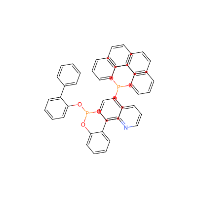 c1ccc(-c2ccccc2OP(OCc2ncccc2OP(Oc2ccccc2-c2ccccc2)Oc2ccccc2-c2ccccc2)Oc2ccccc2-c2ccccc2)cc1